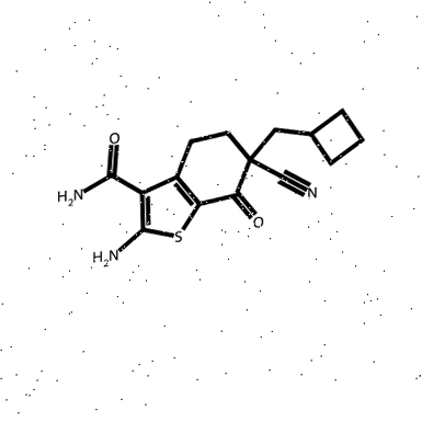 N#CC1(CC2CCC2)CCc2c(sc(N)c2C(N)=O)C1=O